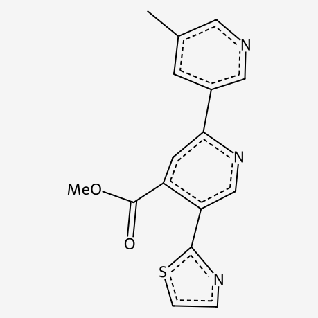 COC(=O)c1cc(-c2cncc(C)c2)ncc1-c1nccs1